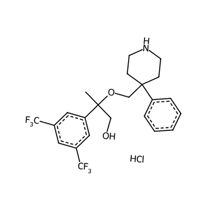 CC(CO)(OCC1(c2ccccc2)CCNCC1)c1cc(C(F)(F)F)cc(C(F)(F)F)c1.Cl